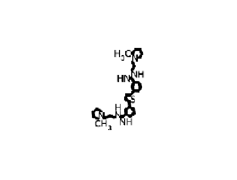 CC1CCCCN1CCCNC(=N)c1cccc(-c2ccc(-c3cccc(C(=N)NCCCN4CCCCC4C)c3)s2)c1